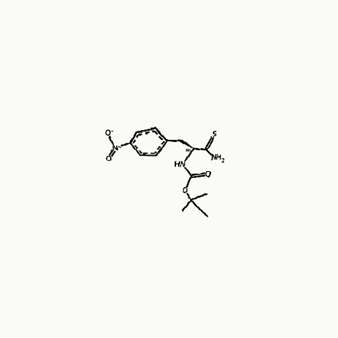 CC(C)(C)OC(=O)N[C@@H](Cc1ccc([N+](=O)[O-])cc1)C(N)=S